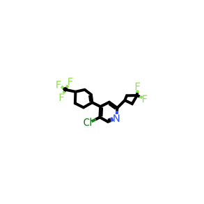 FC1(F)CC(c2cc(C3=CCC(C(F)(F)F)CC3)c(Cl)cn2)C1